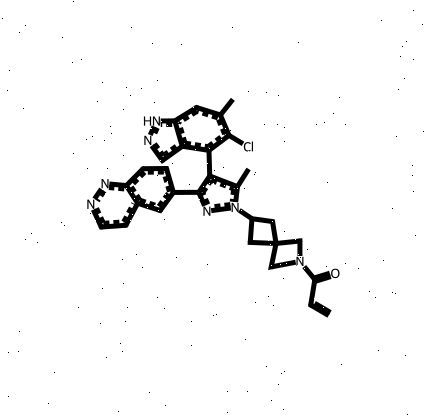 C=CC(=O)N1CC2(CC(n3nc(-c4ccc5nnccc5c4)c(-c4c(Cl)c(C)cc5[nH]ncc45)c3C)C2)C1